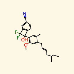 CCC(C)C/C=C/Cc1cc(OC)c(C2(O)c3ccc(C#N)cc3C2(F)F)cc1C